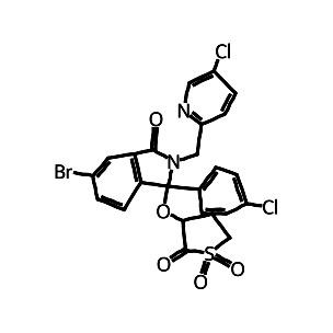 O=C1c2cc(Br)ccc2C(OC2CCS(=O)(=O)C2=O)(c2ccc(Cl)cc2)N1Cc1ccc(Cl)cn1